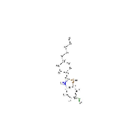 CCCCCC1CCC(c2nc3ccc(F)cc3s2)CC1